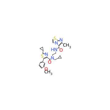 COc1cccc(-c2sc(C3CC3)nc2C(=O)N(CCNC(=O)c2c(C)nc3sccn23)CC2CC2)c1